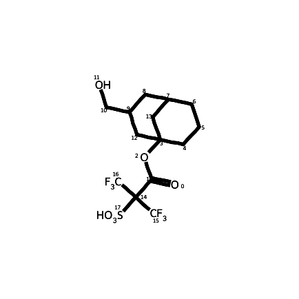 O=C(OC12CCCC(CC(CO)C1)C2)C(C(F)(F)F)(C(F)(F)F)S(=O)(=O)O